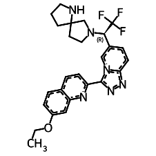 CCOc1ccc2ccc(-c3nnc4ccc([C@@H](N5CCC6(CCCN6)C5)C(F)(F)F)cn34)nc2c1